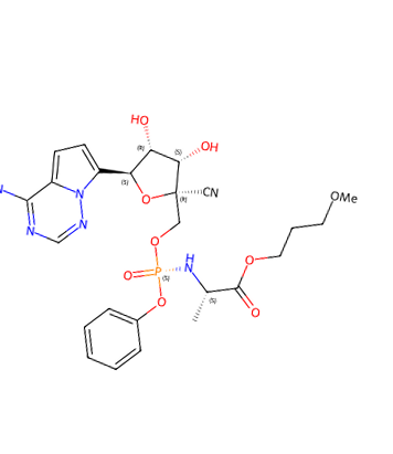 COCCCOC(=O)[C@H](C)N[P@](=O)(OC[C@@]1(C#N)O[C@@H](c2ccc3c(N)ncnn23)[C@H](O)[C@@H]1O)Oc1ccccc1